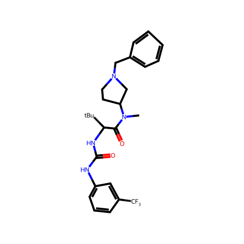 CN(C(=O)C(NC(=O)Nc1cccc(C(F)(F)F)c1)C(C)(C)C)C1CCN(Cc2ccccc2)C1